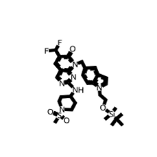 CC(C)(C)[Si](C)(C)OCCn1ccc2cc(Cn3c(=O)c(C(F)F)cc4cnc(NC5CCN(S(C)(=O)=O)CC5)nc43)ccc21